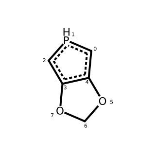 c1[pH]cc2c1OCO2